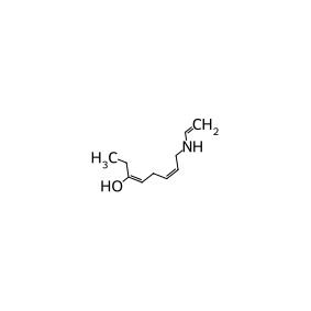 C=CNC/C=C\C/C=C(/O)CC